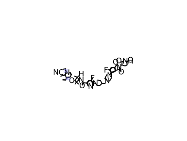 C=C/C(OC1C(C)(C)C(NC(=O)c2cnc(N3CCC(CN4CCN(c5cc6c(cc5F)C(=O)N(C5CCC(=O)NC5=O)C6=O)CC4)CC3)c(F)c2)C1(C)C)=C(/C=C)C(/N=C\C)=C(C)C#N